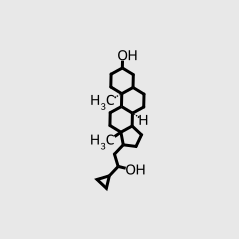 CC12CCC3[C@@H](CCC4CC(O)CC[C@@]43C)C1CCC2CC(O)C1CC1